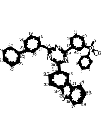 CP(=O)(c1ccccc1)c1cccc(-c2nc(-c3cccc(-c4ccccc4)c3)nc(-c3ccc4sc5ccccc5c4c3)n2)c1